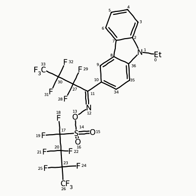 CCn1c2ccccc2c2cc(C(=NOS(=O)(=O)C(F)(F)C(F)(F)C(F)(F)C(F)(F)F)C(F)(F)C(F)(F)C(F)(F)F)ccc21